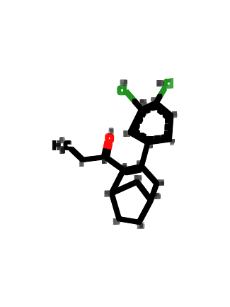 CCC(=O)C1=C(c2ccc(Cl)c(Cl)c2)CC2CCC1C2